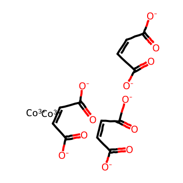 O=C([O-])/C=C\C(=O)[O-].O=C([O-])/C=C\C(=O)[O-].O=C([O-])/C=C\C(=O)[O-].[Co+3].[Co+3]